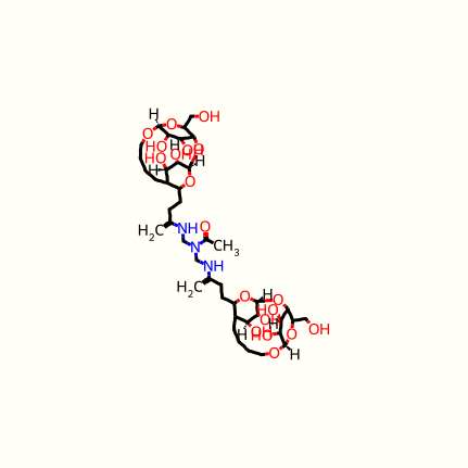 C=C(CCC1O[C@@H]2OC3C(CO)O[C@H](OCCCCC1[C@H](O)C2O)C(O)[C@H]3O)NCN(CNC(=C)CCC1O[C@@H]2OC3C(CO)O[C@H](OCCCCC1[C@H](O)C2O)C(O)[C@H]3O)C(C)=O